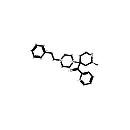 C[C@H]1C[C@@](C(=O)c2ccccn2)(N2CCN(CCc3ccccc3)CC2)CCO1